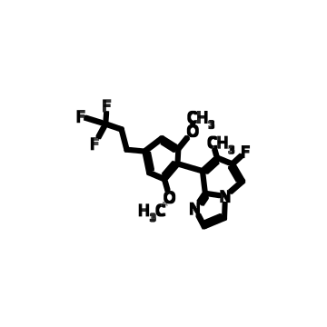 COc1cc(CCC(F)(F)F)cc(OC)c1-c1c(C)c(F)cn2ccnc12